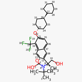 CC(C)(C)N(C(=O)O)[C@@](C)(CO)c1ccc2c(C(F)(F)F)c(O[C@H]3CC[C@H](C4CCCCC4)CC3)ccc2c1